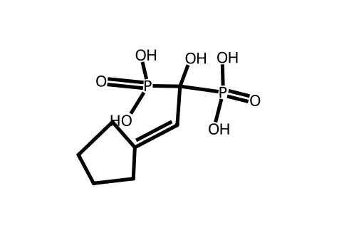 O=P(O)(O)C(O)(C=C1CCCC1)P(=O)(O)O